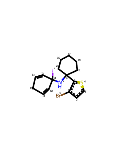 Brc1ccsc1C1(NC2(I)C=C[CH]C=C2)CCCCC1